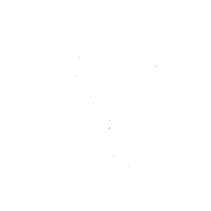 Cc1cc(C[C@@H](OC(=O)N2CCC(N3CCc4ccccc4NC3=O)CC2)C(=O)N2CCC(C3CCNCC3)CC2)cn2ccnc12